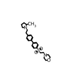 CC1CCCN1CCc1ccc(-c2ccc(S(=O)(=O)CCN3CCOCC3)cc2)cc1